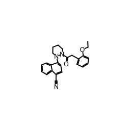 CCOc1ccccc1CC(=O)N1CCCCN1c1ccc(C#N)c2ccccc12